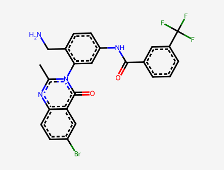 Cc1nc2ccc(Br)cc2c(=O)n1-c1cc(NC(=O)c2cccc(C(F)(F)F)c2)ccc1CN